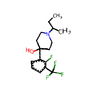 CCC(C)N1CCC(O)(c2cccc(C(F)(F)F)c2F)CC1